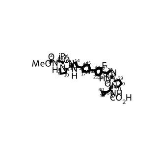 COC(=O)N[C@H](C(=O)N1CCC[C@H]1c1ncc(-c2ccc(-c3ccc(-c4cnc([C@@H]5CCCN5C(=O)[C@@H](NC(=O)O)C5CC5)[nH]4)c(F)c3)cc2)[nH]1)C(C)C